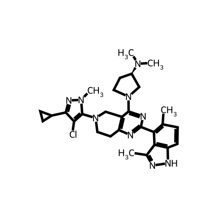 Cc1ccc2[nH]nc(C)c2c1-c1nc2c(c(N3CC[C@@H](N(C)C)C3)n1)CN(c1c(Cl)c(C3CC3)nn1C)CC2